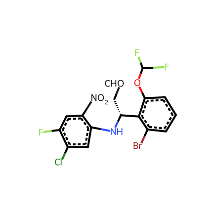 O=CC[C@@H](Nc1cc(Cl)c(F)cc1[N+](=O)[O-])c1c(Br)cccc1OC(F)F